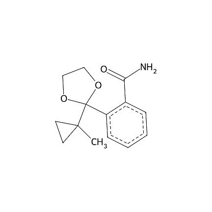 CC1(C2(c3ccccc3C(N)=O)OCCO2)CC1